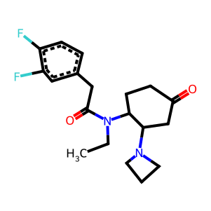 CCN(C(=O)Cc1ccc(F)c(F)c1)C1CCC(=O)CC1N1CCC1